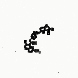 Cc1ccc2ncc(F)c(C(O)CC34CCC(NCc5ccc6c(n5)NC(=O)CO6)(CC3)CO4)c2n1